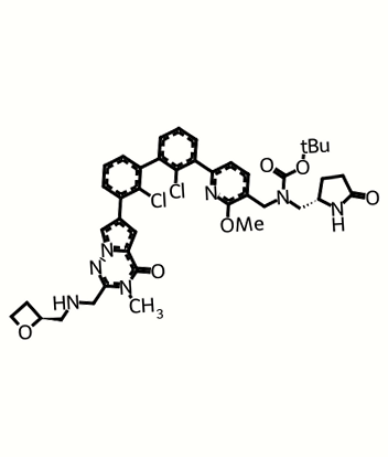 COc1nc(-c2cccc(-c3cccc(-c4cc5c(=O)n(C)c(CNC[C@@H]6CCO6)nn5c4)c3Cl)c2Cl)ccc1CN(C[C@@H]1CCC(=O)N1)C(=O)OC(C)(C)C